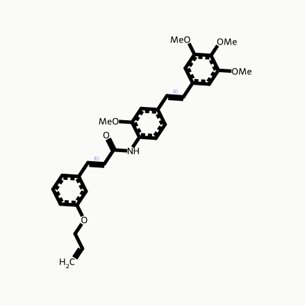 C=CCOc1cccc(/C=C/C(=O)Nc2ccc(/C=C/c3cc(OC)c(OC)c(OC)c3)cc2OC)c1